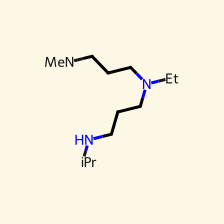 CCN(CCCNC)CCCNC(C)C